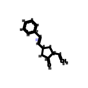 C=CN1CC(/C=C/c2ccccc2)CC1=O